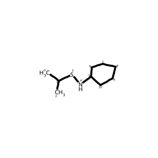 CC(C)SNC1CCCCC1